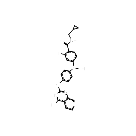 CN(c1ccc(Oc2nc(O)c3ccncc3n2)cc1)c1ccc(C(=O)NCC2CC2)c(F)c1